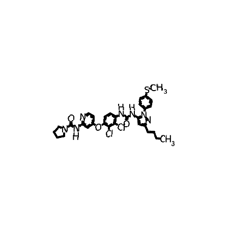 CCCCc1cc(NC(=O)Nc2ccc(Oc3ccnc(NC(=O)N4CCCC4)c3)c(Cl)c2Cl)n(-c2ccc(SC)cc2)n1